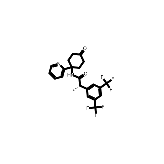 C[C@H](C(=O)NC1(c2ccccn2)CCC(=O)CC1)c1cc(C(F)(F)F)cc(C(F)(F)F)c1